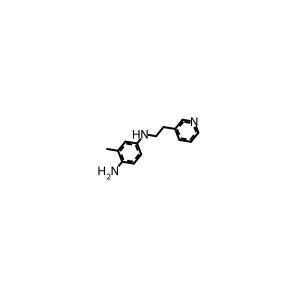 Cc1cc(NCCc2cccnc2)ccc1N